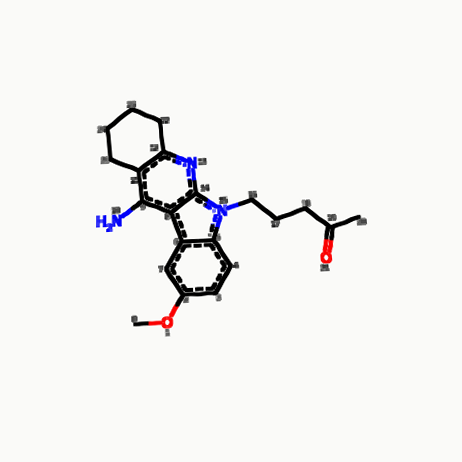 COc1ccc2c(c1)c1c(N)c3c(nc1n2CCCC(C)=O)CCCC3